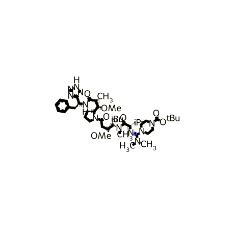 CC[C@H](C)[C@@H]([C@H](CC(=O)N1CCC[C@H]1[C@H](OC)[C@@H](C)C(=O)N[C@@H](Cc1ccccc1)c1nn[nH]n1)OC)N(C)C(=O)[C@@H](/N=C(/N(C)C)N1CCN(C(=O)OC(C)(C)C)CC1)C(C)C